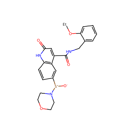 CCOc1ccccc1CNC(=O)c1cc(=O)[nH]c2ccc([S+]([O-])N3CCOCC3)cc12